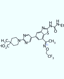 CCNC(=O)Nc1nc2cc(-c3cnc(N4CCC(C)(C(=O)O)CC4)nc3)cc(/C(C)=N/OCC(F)(F)F)c2s1